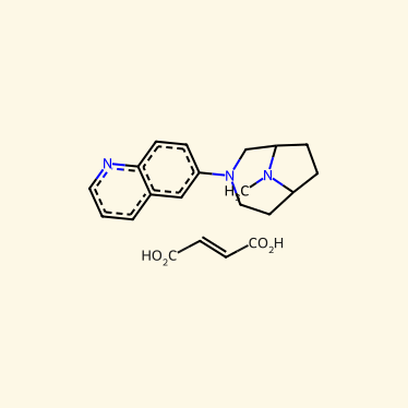 CN1C2CCC1CN(c1ccc3ncccc3c1)CC2.O=C(O)/C=C/C(=O)O